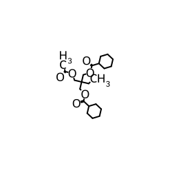 CCC(COC(C)=O)(COC(=O)C1CCCCC1)COC(=O)C1CCCCC1